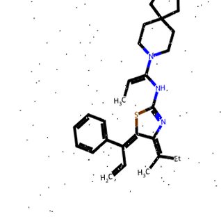 C=C/C(c1ccccc1)=c1/sc(N/C(=C\C)N2CCC3(CCCC3)CC2)n/c1=C(/C)CC